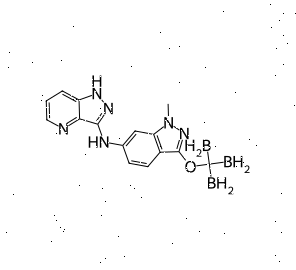 BC(B)(B)Oc1nn(C)c2cc(Nc3n[nH]c4cccnc34)ccc12